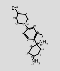 CCC1CCN(c2ccc(C3(N)CCC(N)CC3)c(C)c2)CC1